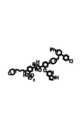 CC(C)N1CCC(c2ccc(Cl)cc2)=C(CN2CCN(c3ccc(C(=O)NS(=O)(=O)c4ccc(NCCCN5CCOCC5)c(S(=O)(=O)C(F)(F)F)c4)c(Oc4cnc5[nH]ccc5c4)c3)CC2)C1